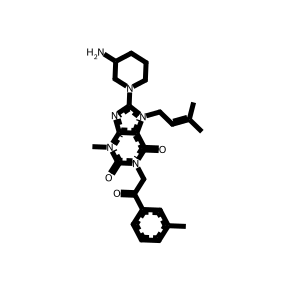 CC(C)=CCn1c(N2CCCC(N)C2)nc2c1c(=O)n(CC(=O)c1cccc(C)c1)c(=O)n2C